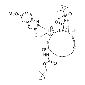 COc1ccc2nc(C)c(O[C@@H]3C[C@H]4C(=O)N[C@]5(C(=O)NS(=O)(=O)C6(C)CC6)C[C@H]5/C=C\CCCCC[C@H](NC(=O)OCC5(C)CC5)C(=O)N4C3)nc2c1